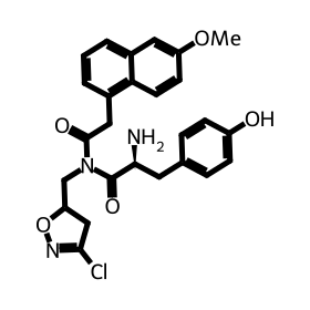 COc1ccc2c(CC(=O)N(CC3CC(Cl)=NO3)C(=O)[C@@H](N)Cc3ccc(O)cc3)cccc2c1